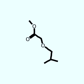 COC(=O)COCC(C)C